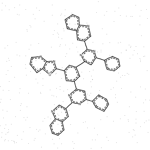 c1ccc(-c2cc(-c3cc(-c4cc(-c5ccccc5)nc(-c5cnc6ccccc6c5)n4)cc(-c4nc5ncccc5o4)c3)nc(-c3cnc4ccccc4c3)n2)cc1